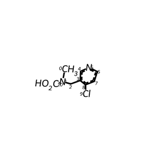 CN(Cc1cnccc1Cl)C(=O)O